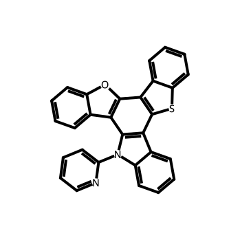 c1ccc(-n2c3ccccc3c3c4sc5ccccc5c4c4oc5ccccc5c4c32)nc1